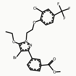 CCOc1c(Br)c(-c2cccc(C(=O)OC)c2)nn1CCOc1ccc(C(F)(F)F)cc1Cl